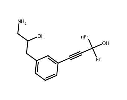 CCCC(O)(C#Cc1cccc(CC(O)CN)c1)CC